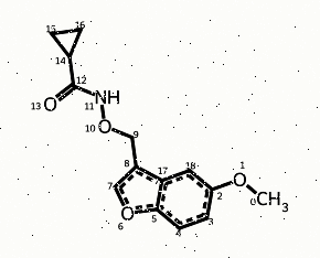 COc1ccc2occ(CONC(=O)C3CC3)c2c1